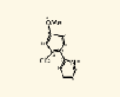 COc1ccc(-c2ccccn2)c(Cl)c1